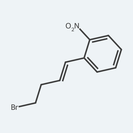 O=[N+]([O-])c1ccccc1C=CCCBr